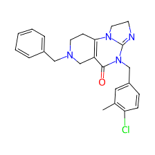 Cc1cc(CN2C(=O)C3=C(CCN(Cc4ccccc4)C3)N3CCN=C23)ccc1Cl